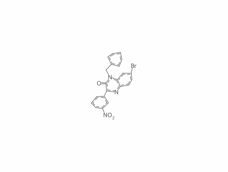 O=c1c(-c2cccc([N+](=O)[O-])c2)nc2ccc(Br)cc2n1Cc1ccccc1